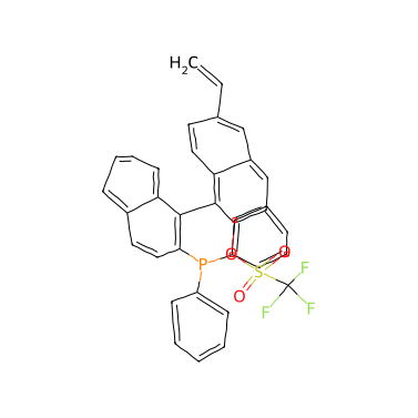 C=Cc1ccc2c(-c3c(P(c4ccccc4)c4ccccc4)ccc4ccccc34)c(OS(=O)(=O)C(F)(F)F)ccc2c1